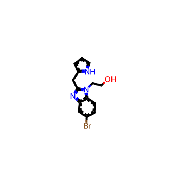 OCCn1c(Cc2ccc[nH]2)nc2cc(Br)ccc21